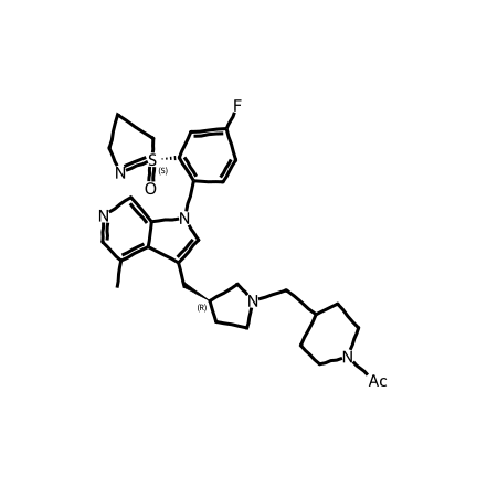 CC(=O)N1CCC(CN2CC[C@@H](Cc3cn(-c4ccc(F)cc4[S@]4(=O)=NCCC4)c4cncc(C)c34)C2)CC1